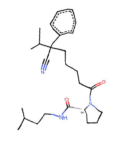 CC(C)CCNC(=O)[C@H]1CCCN1C(=O)CCCCC(C#N)(c1ccccc1)C(C)C